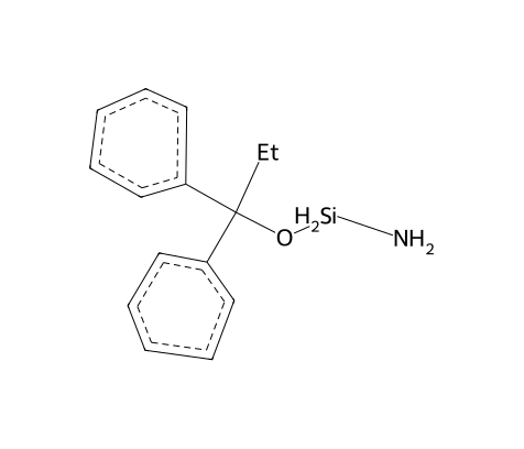 CCC(O[SiH2]N)(c1ccccc1)c1ccccc1